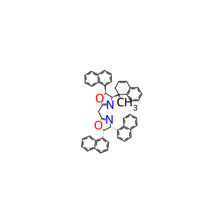 CC1([C@H]2N=C(CC3=N[C@H](c4cccc5ccccc45)[C@H](c4cccc5ccccc45)O3)O[C@H]2c2cccc3ccccc23)CC=Cc2ccccc21